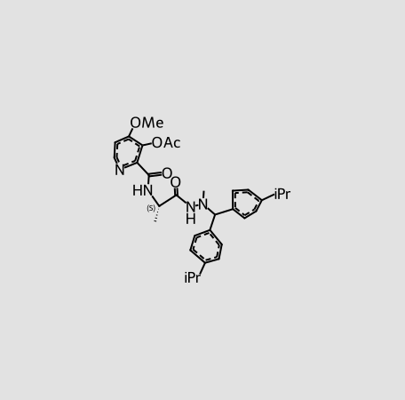 COc1ccnc(C(=O)N[C@@H](C)C(=O)NN(C)C(c2ccc(C(C)C)cc2)c2ccc(C(C)C)cc2)c1OC(C)=O